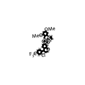 COc1ccc(CN(c2nccs2)S(=O)(=O)c2ccc3c(c2)OCCC3c2ccc(C(F)(F)F)cc2Cl)c(OC)c1